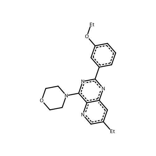 CCOc1cccc(-c2nc(N3CCOCC3)c3ncc(CC)cc3n2)c1